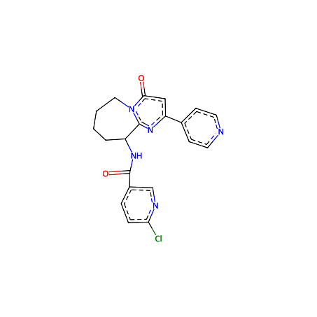 O=C(NC1CCCCn2c1nc(-c1ccncc1)cc2=O)c1ccc(Cl)nc1